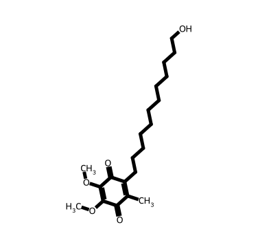 COC1=C(OC)C(=O)C(CCCCCCCCCCCCO)=C(C)C1=O